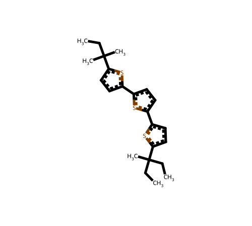 CCC(C)(C)c1ccc(-c2ccc(-c3ccc(C(C)(CC)CC)s3)s2)s1